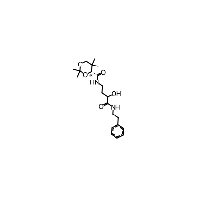 CC1(C)OCC(C)(C)[C@H](C(=O)NCCC(O)C(=O)NCCc2ccccc2)O1